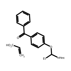 C=CC(=O)O.CCCCCCC(CC)Oc1ccc(C(=O)c2ccccc2)cc1